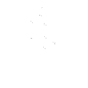 c1cccc(-n2c3ccccc3c3cccc(-n4c5c(c6cccc(-c7nc(-c8ccccc8)nc(-c8ccc(-c9ccccc9)c9ccccc89)n7)c64)C=CCC5)c32)c#1